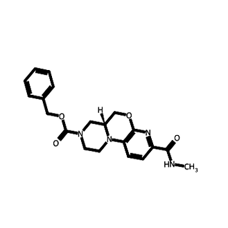 CNC(=O)c1ccc2c(n1)OC[C@H]1CN(C(=O)OCc3ccccc3)CCN21